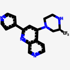 FC(F)(F)[C@H]1CN(c2cc(-c3ccncc3)nc3cnccc23)CCN1